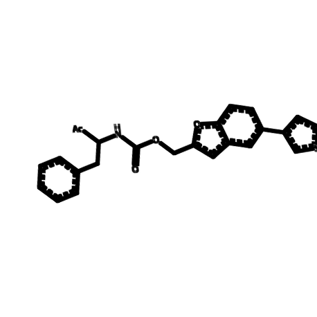 CC(=O)C(Cc1ccccc1)NC(=O)OCc1cc2cc(-c3ccsc3)ccc2o1